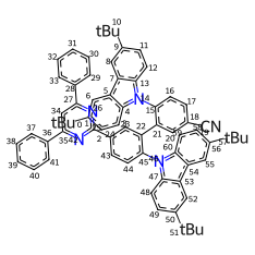 CC(C)(C)c1ccc2c(c1)c1cc(C(C)(C)C)ccc1n2-c1ccc(C#N)cc1-c1cc(-c2nc(-c3ccccc3)cc(-c3ccccc3)n2)ccc1-n1c2ccc(C(C)(C)C)cc2c2cc(C(C)(C)C)ccc21